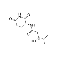 CC(C)[C@H](O)CC(=O)NC1CCC(=O)NC1=O